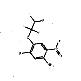 Nc1cc(Br)c(OC(F)(F)C(F)F)cc1[N+](=O)[O-]